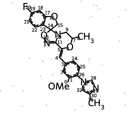 COc1cc(/C=C2\OC(C)CN3C2=NOC32COc3cc(F)ccc32)ccc1-n1cnc(C)c1